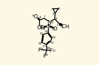 C#CC(C1CC1)N(CC(=O)O)S(=O)(=O)c1ccc(C(F)(F)F)cc1